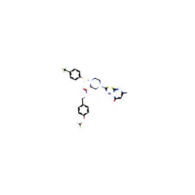 Cc1cc(=O)n2nc(N3CCN(S(=O)(=O)c4ccc(C(F)(F)F)cc4)[C@@H](C(=O)NCc4ccc(OC(F)F)cc4)C3)sc2n1